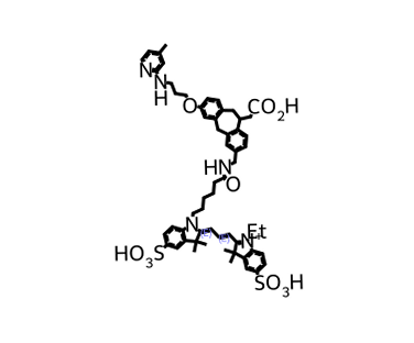 CC[N+]1=C(/C=C/C=C2/N(CCCCCC(=O)NCc3ccc4c(c3)Cc3cc(OCCCNc5cc(C)ccn5)ccc3CC4CC(=O)O)c3ccc(S(=O)(=O)O)cc3C2(C)C)C(C)(C)c2cc(S(=O)(=O)O)ccc21